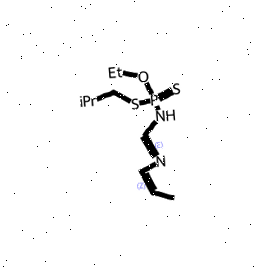 C/C=C\N=C\NP(=S)(OCC)SCC(C)C